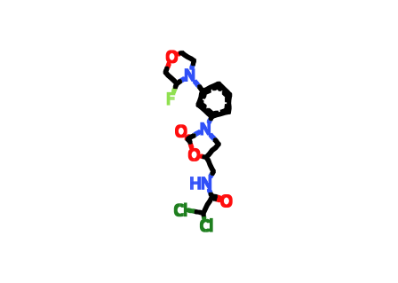 O=C(NCC1CN(c2cccc(N3CCOCC3F)c2)C(=O)O1)C(Cl)Cl